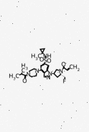 C=CC(=O)N1C[C@H](n2ncc3c(N4CCN(C(=O)C(C)C)CC4)cc(S(=O)(=O)NC4(C)CC4)cc32)C[C@H]1CF